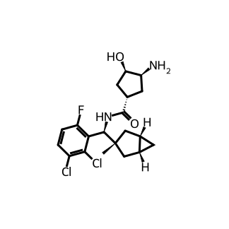 C[C@]1([C@H](NC(=O)[C@@H]2C[C@@H](O)[C@@H](N)C2)c2c(F)ccc(Cl)c2Cl)C[C@H]2C[C@H]2C1